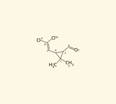 CC1(C)C(C=O)C1C=C(Cl)Cl